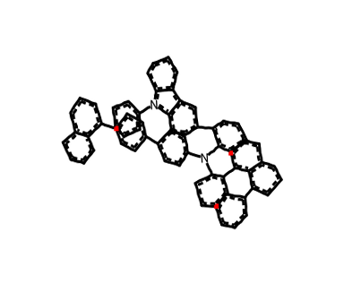 c1ccc(-c2cccc3cccc(-c4ccccc4N(c4ccc(-c5ccc(-c6cccc7ccccc67)cc5)cc4)c4ccccc4-c4ccc5c(c4)c4ccccc4n5-c4ccccc4)c23)cc1